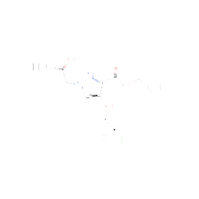 CCOC(=O)c1nn(CC(C)=O)cc1OCC(F)(F)F